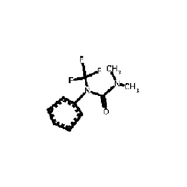 CN(C)C(=O)N(c1ccccc1)C(F)(F)F